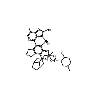 C[C@@H](O)CN1CC2CCC(C1)N2c1nc(OC[C@H]2CN(C)CC[C@@H]2F)nc2c(F)c(-c3ncc(F)c4sc(N)c(C#N)c34)c3c(c12)COC3